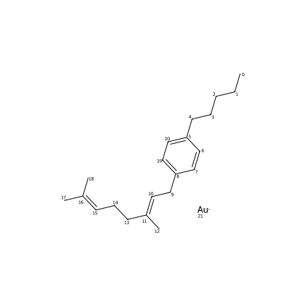 CCCCCc1ccc(C/C=C(\C)CCC=C(C)C)cc1.[Au]